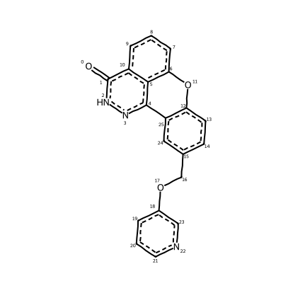 O=c1[nH]nc2c3c(cccc13)Oc1ccc(COc3cccnc3)cc1-2